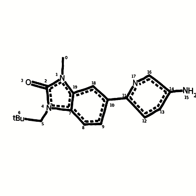 Cn1c(=O)n(CC(C)(C)C)c2ccc(-c3ccc(N)cn3)cc21